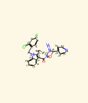 O=C(c1c(C(F)(F)F)n(Cc2ccc(Cl)cc2Cl)c2ccccc12)N1CNC(c2ccncc2)O1